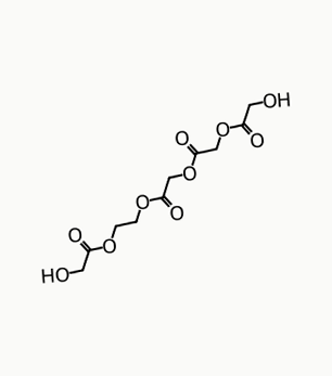 O=C(CO)OCCOC(=O)COC(=O)COC(=O)CO